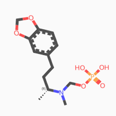 C[C@H](CCc1ccc2c(c1)OCO2)N(C)COP(=O)(O)O